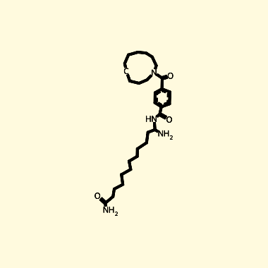 NC(=O)CCCCCCCCCCC(N)NC(=O)c1ccc(C(=O)N2CCCCCCCCCC2)cc1